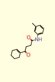 Cc1cccc(NC(=O)CCC(=O)C2=CCCCC2)c1